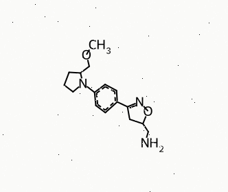 COCC1CCCN1c1ccc(C2=NOC(CN)C2)cc1